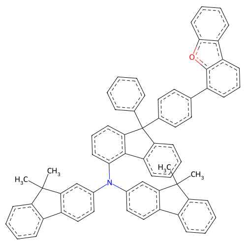 CC1(C)c2ccccc2-c2ccc(N(c3ccc4c(c3)C(C)(C)c3ccccc3-4)c3cccc4c3-c3ccccc3C4(c3ccccc3)c3ccc(-c4cccc5c4oc4ccccc45)cc3)cc21